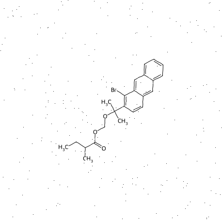 CCC(C)C(=O)OCOC(C)(C)c1ccc2cc3ccccc3cc2c1Br